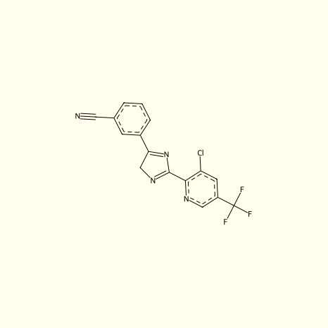 N#Cc1cccc(C2=NC(c3ncc(C(F)(F)F)cc3Cl)=NC2)c1